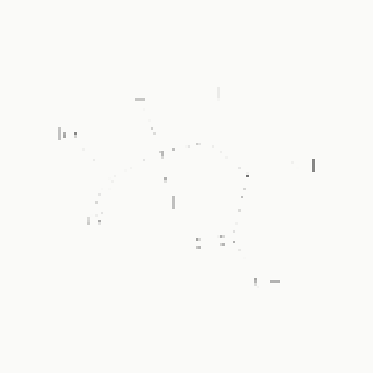 [2H][C@H]([C@H](N)C(=O)O)C([2H])([2H])C(=O)O